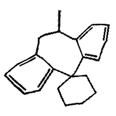 CC1Cc2ccccc2C2(CCCCC2)c2ccccc21